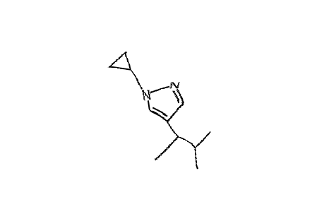 CC(C)C(C)c1cnn(C2CC2)c1